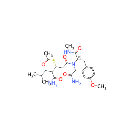 CNC(=O)[C@H](Cc1ccc(OC)cc1)N(CC(N)=O)C(=O)CC(SC(C)=O)C(CC(C)C)C(N)=O